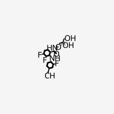 C#Cc1ccc(Nc2c(C(=O)NOC[C@@H](O)CO)ccc(F)c2F)c(F)c1